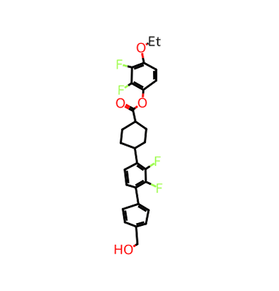 CCOc1ccc(OC(=O)C2CCC(c3ccc(-c4ccc(CO)cc4)c(F)c3F)CC2)c(F)c1F